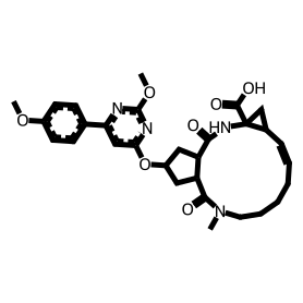 COc1ccc(-c2cc(OC3CC4C(=O)NC5(C(=O)O)CC5C=CCCCCN(C)C(=O)C4C3)nc(OC)n2)cc1